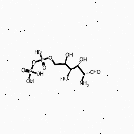 N[C@@H](C=O)[C@@H](O)[C@@H](O)[C@H](O)COP(=O)(O)OP(=O)(O)O